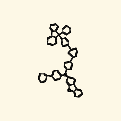 c1ccc(-c2ccc(N(c3ccc(-c4cccc(-c5ccc(C6(c7ccccc7)c7ccccc7-c7ccccc76)cc5)c4)cc3)c3ccc4c(c3)oc3ccccc34)cc2)cc1